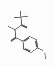 COc1ccc(C(=O)C(C)C(=O)C(F)(F)F)cc1